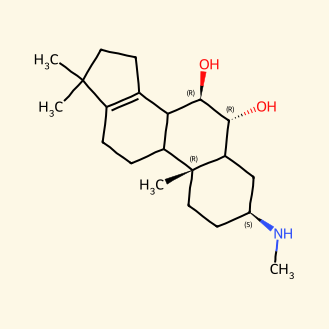 CN[C@H]1CC[C@]2(C)C3CCC4=C(CCC4(C)C)C3[C@@H](O)[C@H](O)C2C1